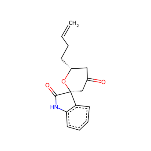 C=CCC[C@@H]1CC(=O)C[C@@]2(O1)C(=O)Nc1ccccc12